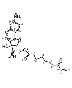 C#C[C@@]1(O)[C@@H](COC(=O)CCCCCCC(=O)NO)O[C@@H](n2ccc(N)nc2=O)[C@@H]1O